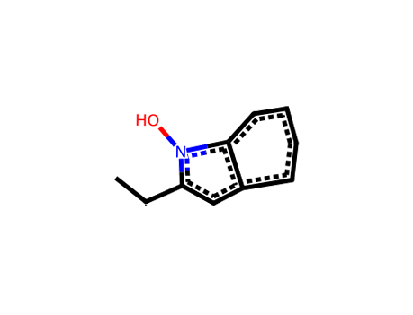 C[CH]c1cc2ccccc2n1O